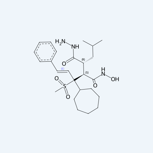 CC(C)C[C@@H](C(=O)NN)[C@@H](C(=O)NO)C(/C=C/c1ccccc1)(C1CCCCCC1)S(C)(=O)=O